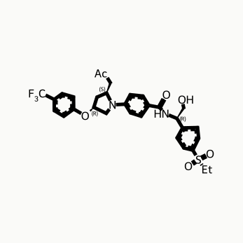 CCS(=O)(=O)c1ccc([C@H](CO)NC(=O)c2ccc(N3C[C@H](Oc4ccc(C(F)(F)F)cc4)C[C@H]3CC(C)=O)cc2)cc1